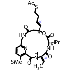 C/C=C1\NC(=O)c2nc(ccc2SC)CNC(=O)C[C@@H](/C=C/CCSC(C)=O)OC(=O)[C@H](C(C)C)NC1=O